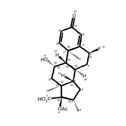 CC(=O)O[C@]1(C(=O)O)[C@@H](C)C[C@H]2[C@@H]3C[C@H](F)C4=CC(=O)C=C[C@]4(C)[C@H]3[C@@H](O)C[C@@]21C